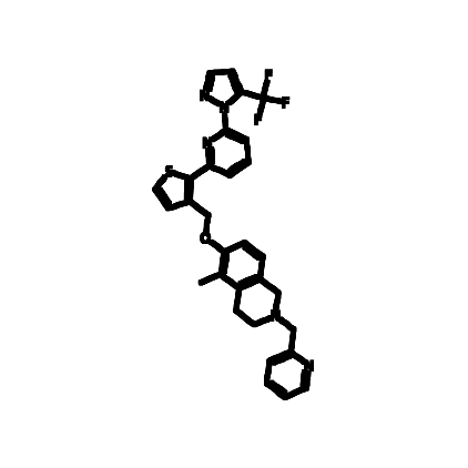 Cc1c(OCc2ccsc2-c2cccc(-n3nccc3C(F)(F)F)n2)ccc2c1CCN(Cc1ccccn1)C2